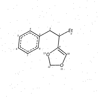 [CH2]CC(Cc1ccccc1)C1=COCO1